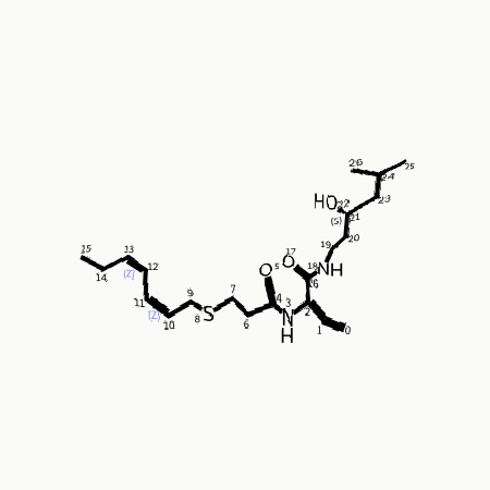 C=C=C(NC(=O)CCSC/C=C\C=C/CC)C(=O)NCC[C@@H](O)CC(C)C